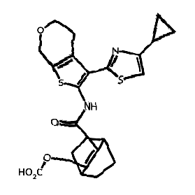 O=C(O)OC1=C(C(=O)Nc2sc3c(c2-c2nc(C4CC4)cs2)CCOC3)C2CCC1CC2